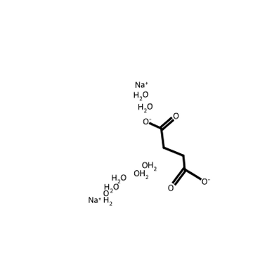 O.O.O.O.O.O.O.O=C([O-])CCC(=O)[O-].[Na+].[Na+]